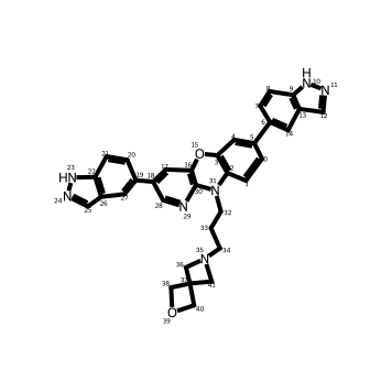 c1cc2c(cc1-c1ccc3[nH]ncc3c1)Oc1cc(-c3ccc4[nH]ncc4c3)cnc1N2CCCN1CC2(COC2)C1